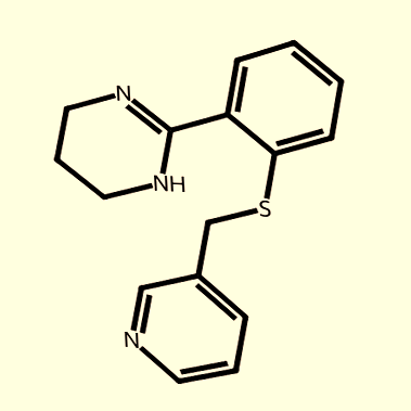 c1cncc(CSc2ccccc2C2=NCCCN2)c1